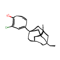 CC12CC3CC(C)(C1)CC(c1ccc(O)c(Cl)c1)(C3)C2